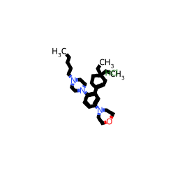 CCCCCN1CCN(c2ccc(N3CCOCC3)cc2C2=CCC(CC)(CC)CC2)CC1.Cl